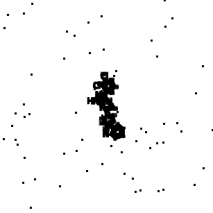 N#CC1(c2ccccc2)CCN(c2cnc3c(-c4cccc(Cl)c4Cl)n[nH]c3n2)CC1